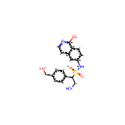 NCC(c1ccc(CO)cc1)S(=O)(=O)Nc1ccc2c(O)nccc2c1